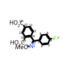 CON=C(c1ccc(F)cc1)c1ccc(C(=O)O)cc1C(=O)O